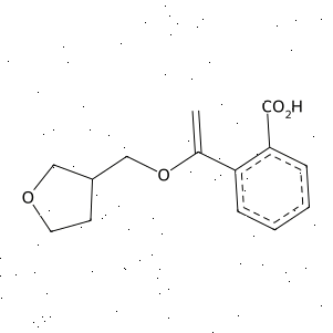 C=C(OCC1CCOC1)c1ccccc1C(=O)O